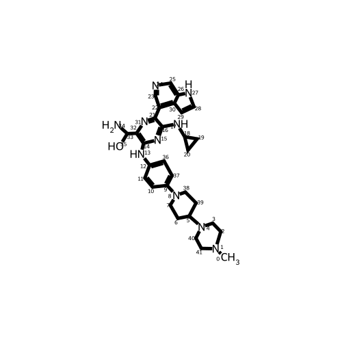 CN1CCN(C2CCN(c3ccc(Nc4nc(NC5CC5)c(-c5cncc6[nH]ccc56)nc4C(N)O)cc3)CC2)CC1